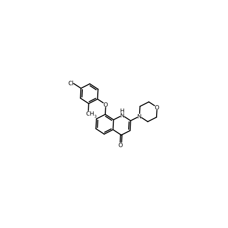 Cc1cc(Cl)ccc1Oc1cccc2c(=O)cc(N3CCOCC3)[nH]c12